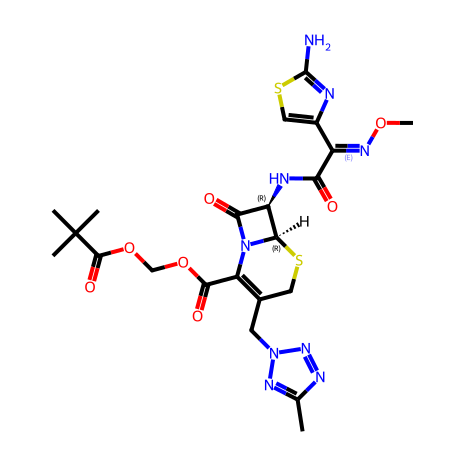 CO/N=C(/C(=O)N[C@@H]1C(=O)N2C(C(=O)OCOC(=O)C(C)(C)C)=C(Cn3nnc(C)n3)CS[C@H]12)c1csc(N)n1